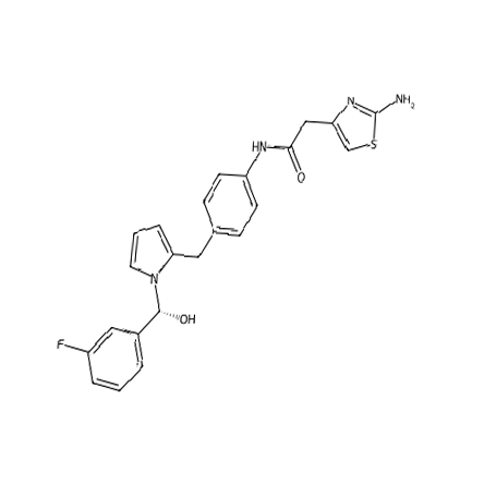 Nc1nc(CC(=O)Nc2ccc(Cc3cccn3[C@H](O)c3cccc(F)c3)cc2)cs1